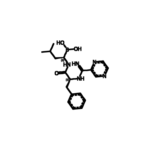 CC(C)C[C@H](NC(=O)[C@H](Cc1ccccc1)NC(=N)c1cnccn1)B(O)O